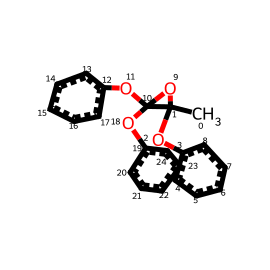 CC1(Oc2ccccc2)OC1(Oc1ccccc1)Oc1ccccc1